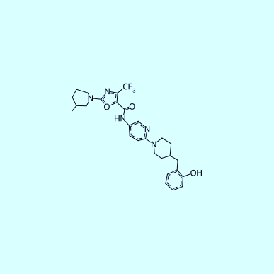 CC1CCCN(c2nc(C(F)(F)F)c(C(=O)Nc3ccc(N4CCC(Cc5ccccc5O)CC4)nc3)o2)C1